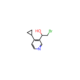 OC(CBr)c1cnccc1C1CC1